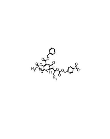 C[C@@H](OC(=O)OCc1ccc([N+](=O)[O-])cc1)[C@H]1C(=O)N2C(C(=O)OCc3ccccc3)=C(OS(C)(=O)=O)C(=O)S[C@@H]12